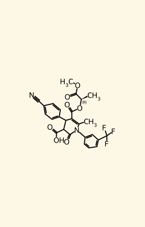 COC(=O)[C@@H](C)OC(=O)C1=C(C)N(c2cccc(C(F)(F)F)c2)C(=O)C(C(=O)O)C1c1ccc(C#N)cc1